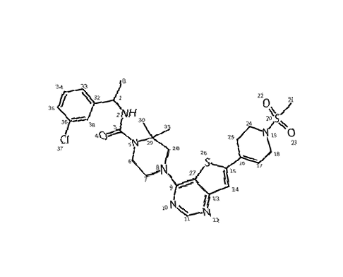 CC(NC(=O)N1CCN(c2ncnc3cc(C4=CCN(S(C)(=O)=O)CC4)sc23)CC1(C)C)c1cccc(Cl)c1